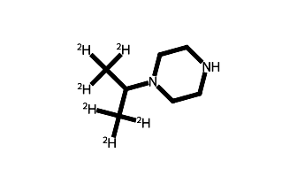 [2H]C([2H])([2H])C(N1CCNCC1)C([2H])([2H])[2H]